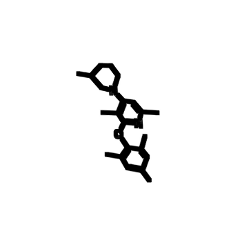 Cc1cc(C)c(Oc2nc(C)cc(N3CCCC(C)C3)c2C)c(C)c1